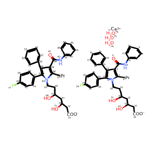 CC(C)c1c(C(=O)Nc2ccccc2)c(-c2ccccc2)c(-c2ccc(F)cc2)n1CCC(O)CC(O)CC(=O)[O-].CC(C)c1c(C(=O)Nc2ccccc2)c(-c2ccccc2)c(-c2ccc(F)cc2)n1CCC(O)CC(O)CC(=O)[O-].O.O.O.[Ca+2]